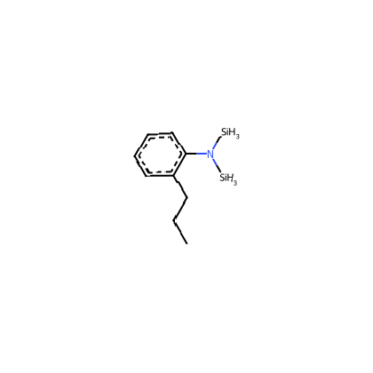 CCCc1ccccc1N([SiH3])[SiH3]